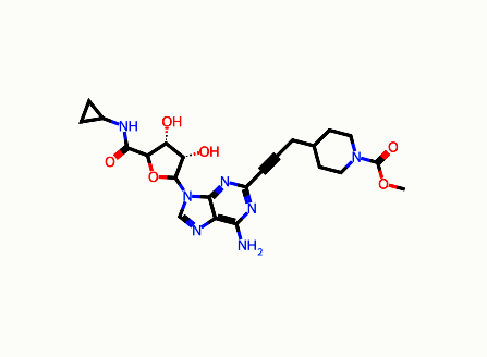 COC(=O)N1CCC(CC#Cc2nc(N)c3ncn(C4OC(C(=O)NC5CC5)[C@H](O)[C@@H]4O)c3n2)CC1